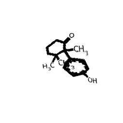 CC1(C)CCCC(=O)C1(C)c1ccc(O)cc1